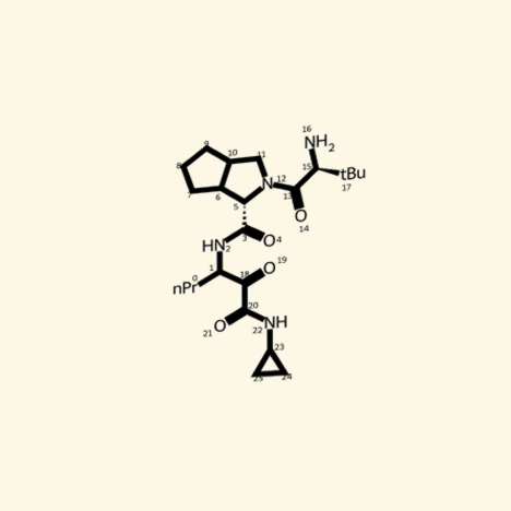 CCCC(NC(=O)[C@@H]1C2CCCC2CN1C(=O)[C@@H](N)C(C)(C)C)C(=O)C(=O)NC1CC1